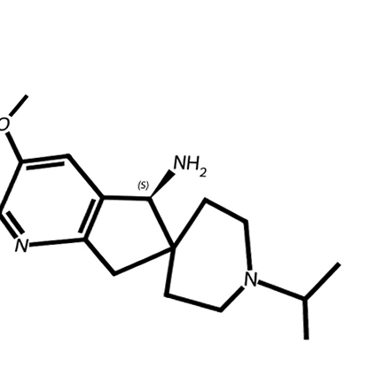 COc1cnc2c(c1)[C@@H](N)C1(CCN(C(C)C)CC1)C2